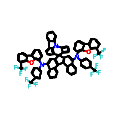 FC(F)(F)c1ccc(N(c2cc3c(c4ccccc24)-c2c(cc(N(c4ccc(C(F)(F)F)cc4)c4cccc5c4oc4c(C(F)(F)F)cccc45)c4ccccc24)C32c3ccccc3-n3c4ccccc4c4cccc2c43)c2cccc3c2oc2c(C(F)(F)F)cccc23)cc1